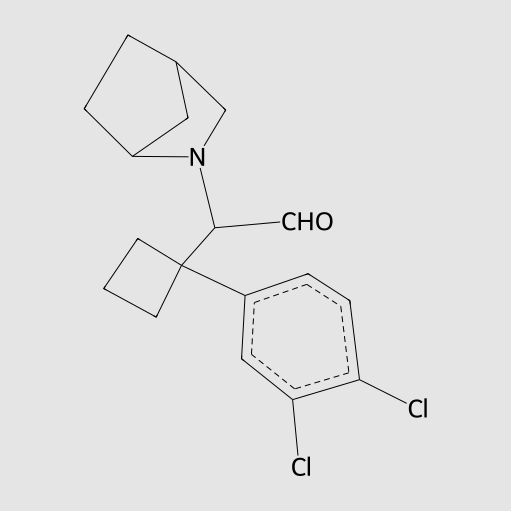 O=CC(N1CC2CCC1C2)C1(c2ccc(Cl)c(Cl)c2)CCC1